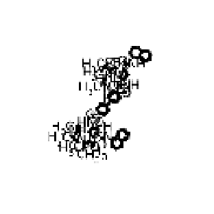 CN[C@@H](C)C(=O)N[C@H](C(=O)N1C[C@@H](NS(=O)(=O)c2ccc(-c3ccc(S(=O)(=O)N[C@H]4C[C@@H](C(=O)N[C@@H]5CCCc6ccccc65)N(C(=O)[C@@H](NC(=O)[C@H](C)NC)C(C)(C)C)C4)cc3)cc2)C[C@H]1C(=O)NC1CCCc2ccccc21)C(C)(C)C